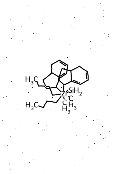 CCC[CH2][Zr]([CH3])([CH3])(=[SiH2])([CH2]CCC)([CH]1CCC2CC=CC=C21)[CH]1CCC2CC=CC=C21